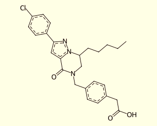 CCCCCC1CN(Cc2ccc(CC(=O)O)cc2)C(=O)c2cc(-c3ccc(Cl)cc3)nn21